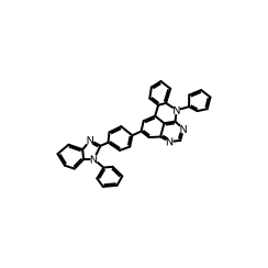 c1ccc(N2c3ccccc3-c3cc(-c4ccc(-c5nc6ccccc6n5-c5ccccc5)cc4)cc4ncnc2c34)cc1